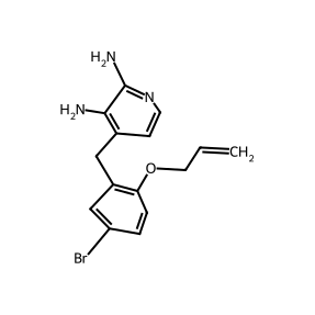 C=CCOc1ccc(Br)cc1Cc1ccnc(N)c1N